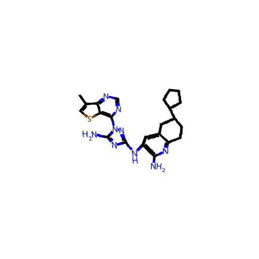 Cc1csc2c(-n3nc(Nc4cc5c(nc4N)CCC(C4CCCC4)C5)nc3N)ncnc12